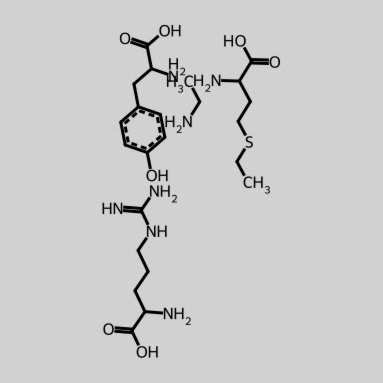 CCN.CCSCCC(N)C(=O)O.N=C(N)NCCCC(N)C(=O)O.NC(Cc1ccc(O)cc1)C(=O)O